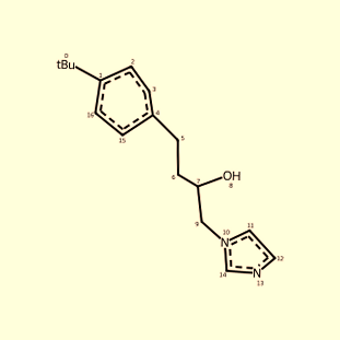 CC(C)(C)c1ccc(CCC(O)Cn2ccnc2)cc1